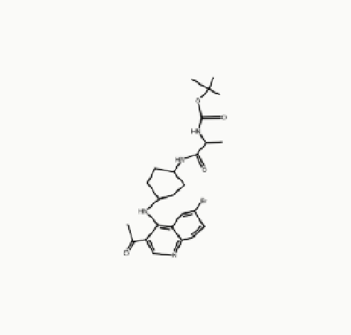 CC(=O)c1cnc2ccc(Br)cc2c1NC1CCC(NC(=O)C(C)NC(=O)OC(C)(C)C)CC1